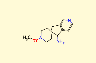 CON1CCC2(CC1)Cc1cnccc1C2N